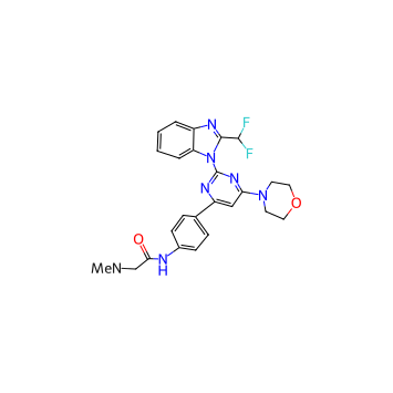 CNCC(=O)Nc1ccc(-c2cc(N3CCOCC3)nc(-n3c(C(F)F)nc4ccccc43)n2)cc1